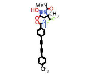 CNC(=O)NC(C)(C(F)F)[C@H](NC(=O)c1ccc(C#CC#Cc2ccc(C(F)(F)F)cc2)cc1)C(=O)NO